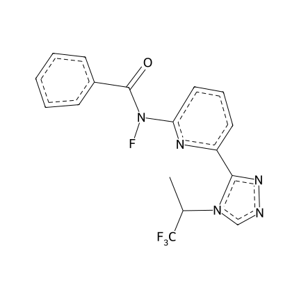 CC(n1cnnc1-c1cccc(N(F)C(=O)c2ccccc2)n1)C(F)(F)F